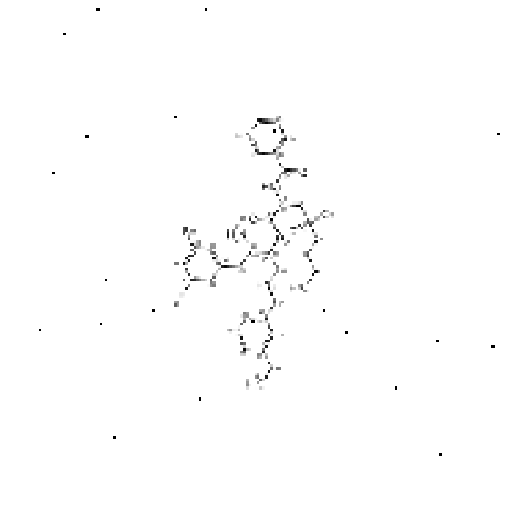 CCCCS(=O)(=O)C[C@H](NC(=O)c1cccnc1)C(=O)O[C@H](CNCc1cccc(CC)c1)[C@@H](N)Cc1cc(F)cc(F)c1